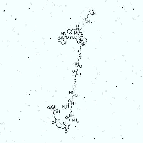 CCCC[C@H](NC(=O)[C@H](CCCCNC(=O)/C=C/c1cccnc1)NC(=O)Cc1ccc(NC(=O)Nc2ccccc2C)cc1)C(=O)NC1(C(=O)NCCOCCOCCNC(=O)CCC(=O)NCCOCCOCCNC(=O)CCC(=O)N[C@@H](CCCCNC(=O)[C@H](N)CSC2CC(=O)N(CC3CCC(C(=O)NCCCC(C)(O)O[PH](=O)O)CC3)C2=O)C(N)=O)CCCCC1